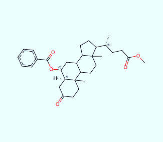 COC(=O)CC[C@@H](C)C1CCC2C3C[C@H](OC(=O)c4ccccc4)[C@@H]4CC(=O)CCC4(C)C3CCC21C